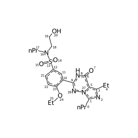 CCCc1nc(CC)c2c(=O)[nH]c(-c3cc(S(=O)(=O)N(CCC)CCO)ccc3OCC)nn12